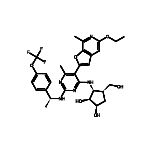 CCOc1cc2cc(-c3c(C)nc(N[C@H](C)c4ccc(OC(F)(F)F)cc4)nc3N[C@@H]3[C@H](CO)C[C@@H](O)[C@H]3O)oc2c(C)n1